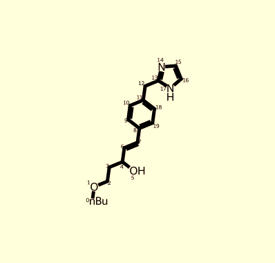 CCCCOCCC(O)C=Cc1ccc(Cc2ncc[nH]2)cc1